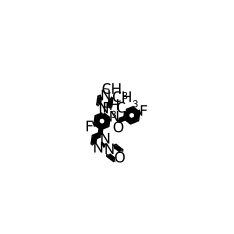 C[C@@H]1CN(c2cc(F)c(-c3ccnc(N4CCOCC4)n3)cc2NC(=O)c2ccc(F)cc2C(F)(F)F)CCN1C